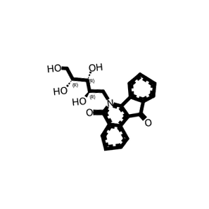 O=C1c2ccccc2-c2c1c1ccccc1c(=O)n2C[C@@H](O)[C@@H](O)[C@H](O)CO